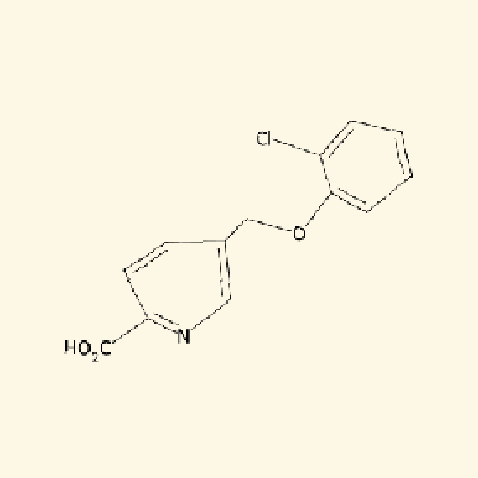 O=C(O)c1ccc(COc2ccccc2Cl)cn1